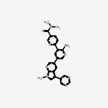 CN(C)C(=O)c1ccc(-c2cc(-c3cnc4c(c3)c(-c3cncnc3)cn4C)cnc2N)nc1